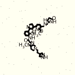 COc1nc(-c2ccnc(-c3cccc(NC(=O)c4nc5c(n4C)CCN(CCc4cn[nH]c4)C5)c3Cl)c2Cl)ccc1CNC[C@H]1CCC(=O)N1